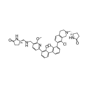 COc1nc(-c2cccc(-c3cccc(-c4ccc5c(c4Cl)CN(C[C@@H]4CCC(=O)N4)CC5)c3Cl)c2Cl)ccc1CNC[C@H]1CCC(=O)N1